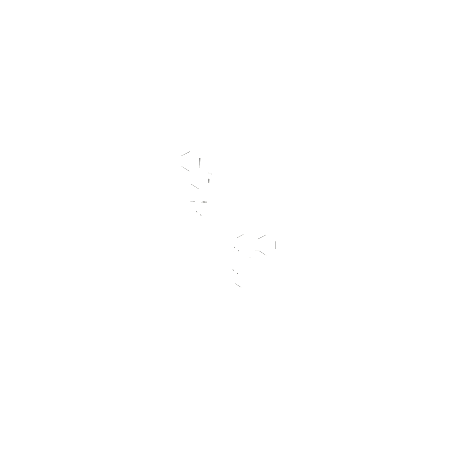 CC(C)(C)OC(=O)N1CCN(C(=O)[C@H]2CC[C@H](NS(=O)(=O)c3cnc4ccccc4c3)CC2)[C@@H](c2ccccc2)C1